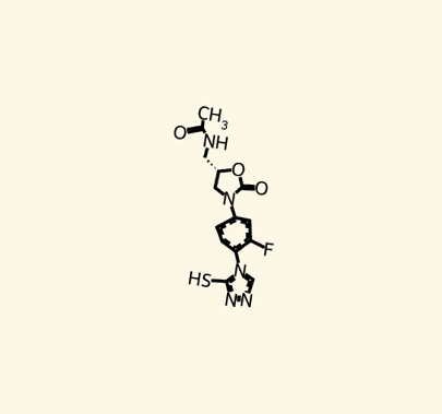 CC(=O)NC[C@H]1CN(c2ccc(-n3cnnc3S)c(F)c2)C(=O)O1